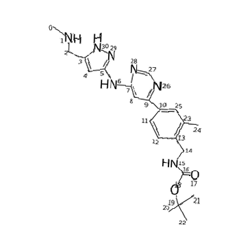 CNCc1cc(Nc2cc(-c3ccc(CNC(=O)OC(C)(C)C)c(C)c3)ncn2)n[nH]1